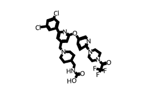 O=C(O)NCC1CCN(Cc2cc(Oc3ccc(N4CCN(C(=O)C(F)(F)F)CC4)nc3)nc(-c3cc(Cl)cc(Cl)c3)c2)CC1